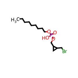 CCCCCCCCCOP(=O)(O)OCC1CC1CBr